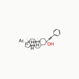 CC(=O)[C@H]1CC[C@H]2[C@@H]3CCC4CC(O)(C#Cc5ccccc5)CC[C@]4(C)[C@H]3CC[C@]12C